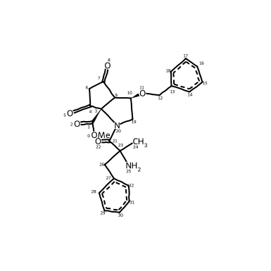 COC(=O)[C@@]12C(=O)CC(=O)C1[C@@H](OCc1ccccc1)CN2C(=O)C(C)(N)Cc1ccccc1